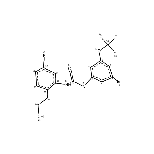 O=C(Nc1cc(Br)cc(OC(F)(F)F)c1)Nc1cc(F)ccc1CCO